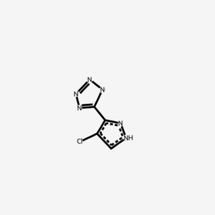 Clc1c[nH]nc1C1=NN=N[N]1